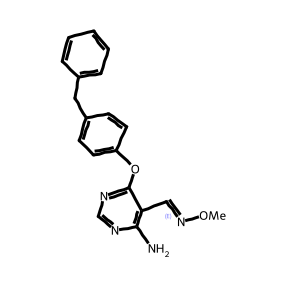 CO/N=C/c1c(N)ncnc1Oc1ccc(Cc2ccccc2)cc1